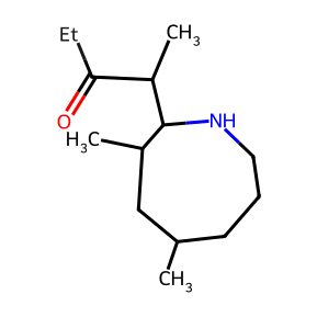 CCC(=O)C(C)C1NCCCC(C)CC1C